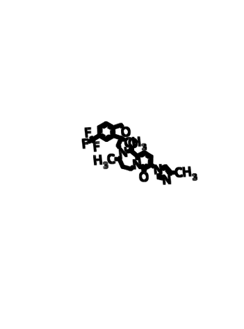 Cc1cn(-c2ccc3n(c2=O)CCC(C)N(CC2(C)OCc4ccc(C(F)(F)F)cc42)C3=O)cn1